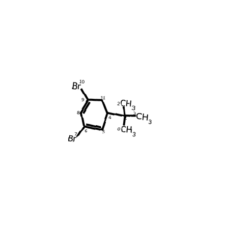 CC(C)(C)C1C=C(Br)C=C(Br)C1